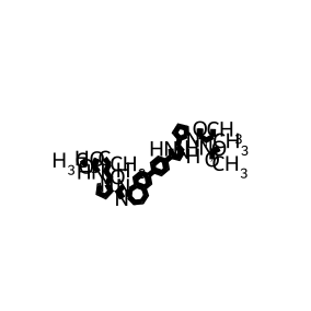 COC(=O)N[C@H](C(=O)NC1CCCC1c1ncc(-c2ccc(-c3ccc4c(c3)CCCc3nc([C@@H]5CCCN5C(=O)[C@@H](NC(=O)OC)C(C)C)[nH]c3-4)cc2)[nH]1)C(C)C